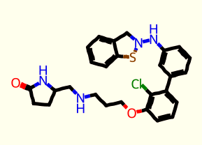 O=C1CCC(CNCCCOc2cccc(-c3cccc(NN4Cc5ccccc5S4)c3)c2Cl)N1